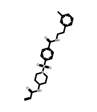 C=CC(=O)NC1CCN(S(=O)(=O)c2ccc(C(=O)NCCc3cccc(C)c3)cc2)CC1